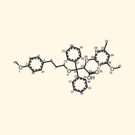 COc1ccc(CCCOC(c2ccccc2)(c2ccccc2)C(Oc2nc(C)cc(OC)n2)C(=O)O)cc1